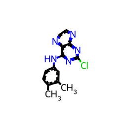 Cc1ccc(Nc2nc(Cl)nc3nccnc23)cc1C